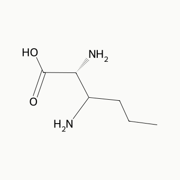 CCCC(N)[C@@H](N)C(=O)O